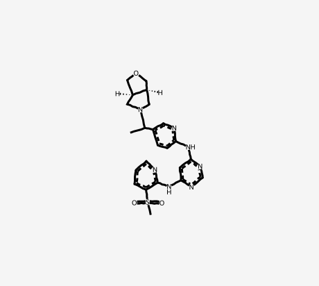 CC(c1ccc(Nc2cc(Nc3ncccc3S(C)(=O)=O)ncn2)nc1)N1C[C@H]2COC[C@H]2C1